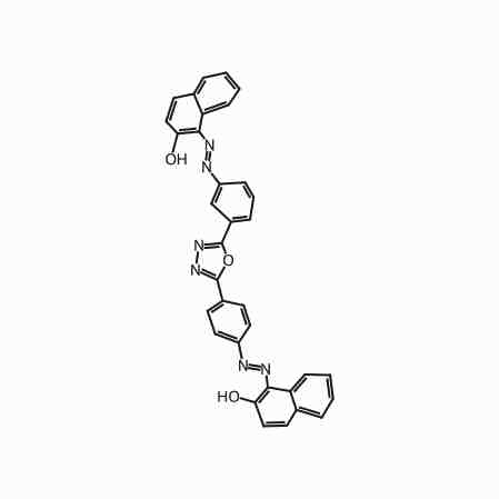 Oc1ccc2ccccc2c1N=Nc1ccc(-c2nnc(-c3cccc(N=Nc4c(O)ccc5ccccc45)c3)o2)cc1